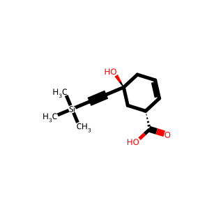 C[Si](C)(C)C#C[C@]1(O)CC=C[C@H](C(=O)O)C1